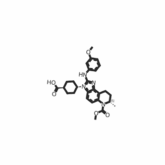 COC(=O)N1c2ccc3c(nc(Nc4cccc(OC)c4)n3[C@H]3CC[C@H](C(=O)O)CC3)c2CC[C@@H]1C